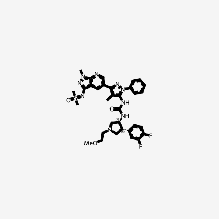 COCCN1C[C@@H](NC(=O)Nc2c(C)c(-c3cnc4c(c3)c(N=S(C)(C)=O)nn4C)nn2-c2ccccc2)[C@H](c2ccc(F)c(F)c2)C1